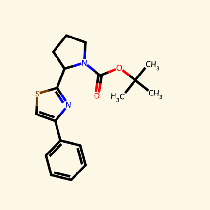 CC(C)(C)OC(=O)N1CCCC1c1nc(-c2ccccc2)cs1